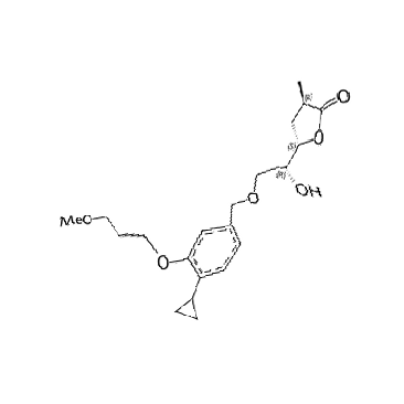 COCCCOc1cc(COC[C@@H](O)[C@@H]2C[C@@H](C)C(=O)O2)ccc1C1CC1